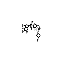 CCCc1ccc(CCC(F)(F)Oc2ccc(C(F)(F)Oc3cc(F)c4c(F)c(F)c(F)cc4c3)c(F)c2F)cc1